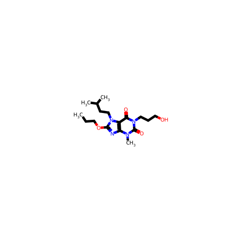 CCCOc1nc2c(c(=O)n(CCCO)c(=O)n2C)n1CCC(C)C